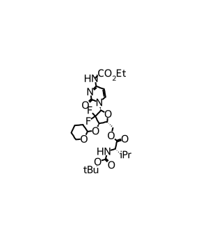 CCOC(=O)Nc1ccn([C@@H]2O[C@H](COC(=O)[C@@H](NC(=O)OC(C)(C)C)C(C)C)[C@@H](OC3CCCCO3)C2(F)F)c(=O)n1